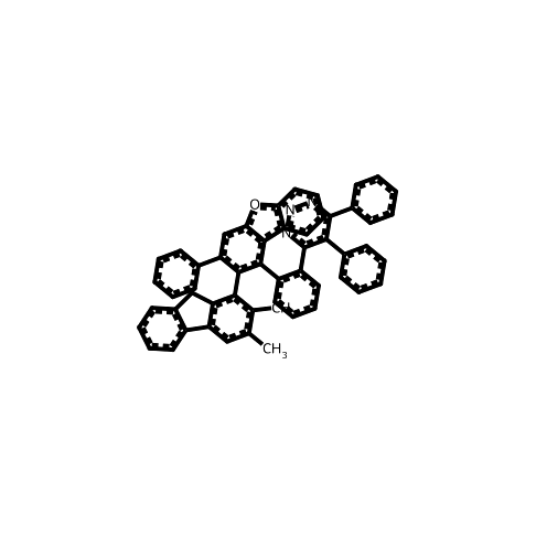 Cc1cc2c(c(-c3c(-c4ccccc4)cc4oc5ccccc5c4c3-c3ccccc3-c3nnnc(-c4ccccc4)c3-c3ccccc3)c1C)Cc1ccccc1-2